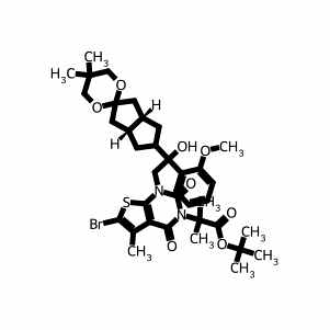 COc1ccccc1C(O)(Cn1c(=O)n(C(C)(C)C(=O)OC(C)(C)C)c(=O)c2c(C)c(Br)sc21)C1C[C@@H]2CC3(C[C@@H]2C1)OCC(C)(C)CO3